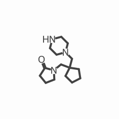 O=C1CCCN1CC1(CN2CCNCC2)CCCC1